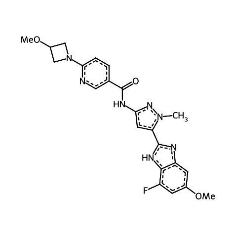 COc1cc(F)c2[nH]c(-c3cc(NC(=O)c4ccc(N5CC(OC)C5)nc4)nn3C)nc2c1